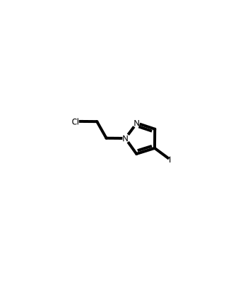 ClCCn1cc(I)cn1